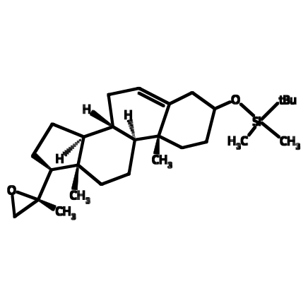 CC(C)(C)[Si](C)(C)OC1CC[C@@]2(C)C(=CC[C@H]3[C@@H]4CC[C@H]([C@]5(C)CO5)[C@@]4(C)CC[C@@H]32)C1